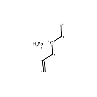 C=CCOCC.[PoH2]